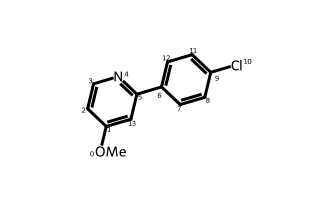 COc1ccnc(-c2ccc(Cl)cc2)c1